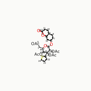 CC(=O)OC[C@H]1O[C@H](Oc2ccc3ccc(=O)oc3c2)[C@H](OC(C)=O)[C@](OC(C)=O)(c2cccs2)[C@@H]1OC(C)=O